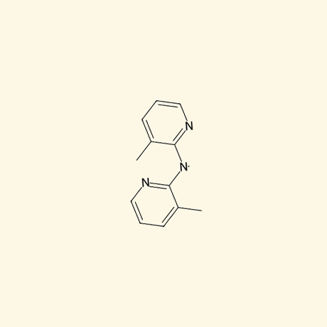 Cc1cccnc1[N]c1ncccc1C